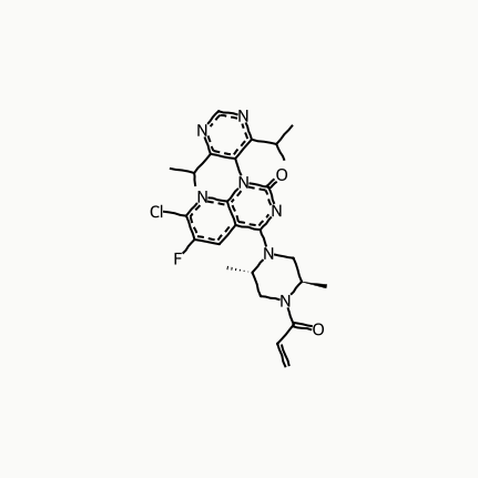 C=CC(=O)N1C[C@H](C)N(c2nc(=O)n(-c3c(C(C)C)ncnc3C(C)C)c3nc(Cl)c(F)cc23)C[C@H]1C